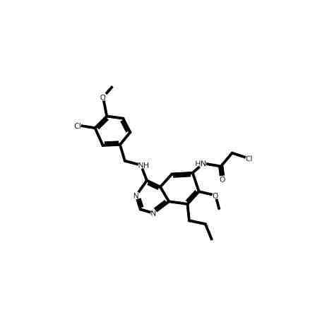 CCCc1c(OC)c(NC(=O)CCl)cc2c(NCc3ccc(OC)c(Cl)c3)ncnc12